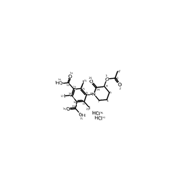 CC(=O)OC1CCCN(c2c(I)c(C(=O)O)c(I)c(C(=O)O)c2I)C1=O.Cl.Cl